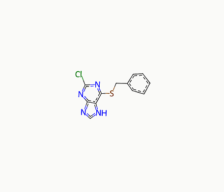 Clc1nc(SCc2ccccc2)c2[nH]cnc2n1